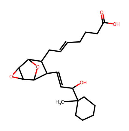 CC1(C(O)/C=C/C2C(C/C=C/CCCC(=O)O)C3OC2C2OC32)CCCCC1